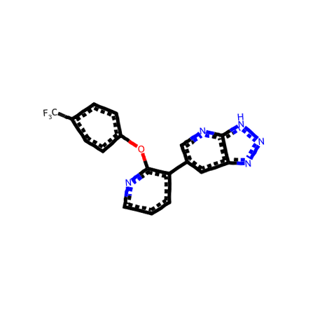 FC(F)(F)c1ccc(Oc2ncccc2-c2cnc3[nH]nnc3c2)cc1